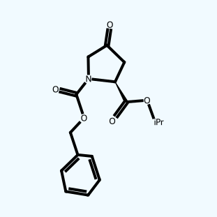 CC(C)OC(=O)[C@@H]1CC(=O)CN1C(=O)OCc1ccccc1